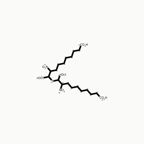 CCCCCCCCC(SC(CCCCCCCC)C(CCCCCCCC(=O)O)[N+](=O)[O-])C(CCCCCCCC(=O)O)[N+](=O)[O-]